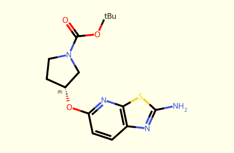 CC(C)(C)OC(=O)N1CC[C@@H](Oc2ccc3nc(N)sc3n2)C1